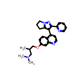 CC(COc1ccc2c(-c3c(-c4ccccn4)nn4c3CCC4)ccnc2c1)CN(C)C